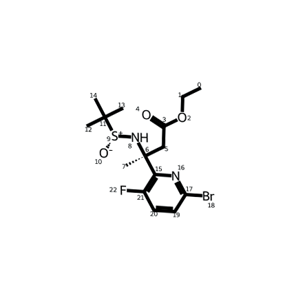 CCOC(=O)C[C@](C)(N[S@+]([O-])C(C)(C)C)c1nc(Br)ccc1F